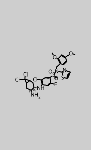 COc1ccc(CN(c2nccs2)S(=O)(=O)c2cc(Cl)c(N[C@H]3CC4C(C[C@@H]3N)C4(Cl)Cl)cc2F)c(OC)c1